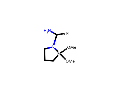 CCCC(N)N1CCC[Si]1(OC)OC